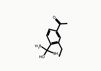 BC(B)(O)c1ccc(C(C)=O)cc1CC